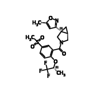 Cc1cc([C@]23CC2CN(C(=O)c2cc(S(C)(=O)=O)ccc2O[C@H](C)C(F)(F)F)C3)no1